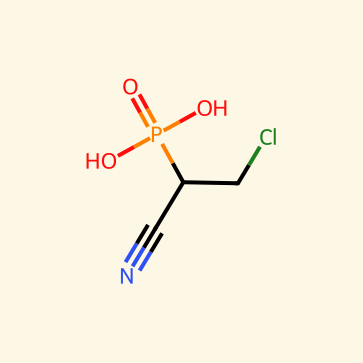 N#CC(CCl)P(=O)(O)O